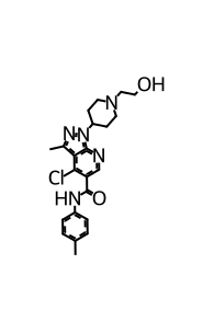 Cc1ccc(NC(=O)c2cnc3c(c(C)nn3C3CCN(CCO)CC3)c2Cl)cc1